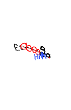 CCOCCOCCOCCOCC12CNCN(C1)C(Cc1ccccc1)(c1ccccc1)C2